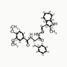 COc1ccc(C(=O)N[C@@H](Cc2ccccc2)C(=O)N/N=C/c2c(C)[nH]c3ccccc23)cc1OC